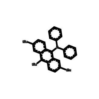 CC(C)(C)c1ccc2c(C(C)(C)C)c3cc(C(C)(C)C)ccc3c(N(c3ccccc3)c3ccccc3)c2c1